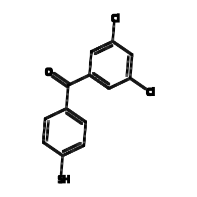 O=C(c1ccc(S)cc1)c1cc(Cl)cc(Cl)c1